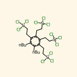 CCCCc1c(CCCC)c(CC[Si](Cl)(Cl)Cl)c(CC[Si](Cl)(Cl)Cl)c(CC[Si](Cl)(Cl)Cl)c1CC[Si](Cl)(Cl)Cl